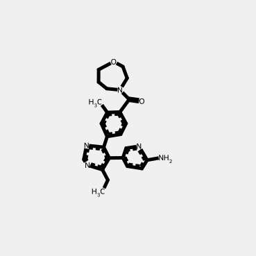 CCc1ncnc(-c2ccc(C(=O)N3CCCOCC3)c(C)c2)c1-c1ccc(N)nc1